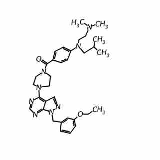 CCOc1cccc(Cn2ncc3c(N4CCN(C(=O)c5ccc(N(CCN(C)C)CC(C)C)cc5)CC4)ncnc32)c1